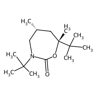 C[C@H]1CN(C(C)(C)C)C(=O)O[C@@](C)(C(C)(C)C)C1